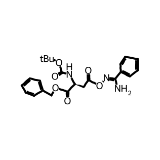 CC(C)(C)OC(=O)N[C@@H](CC(=O)O/N=C(\N)c1ccccc1)C(=O)OCc1ccccc1